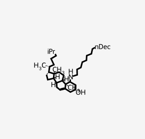 CCCCCCCCCCCCCCCCCCNC1C[C@H](O)CC2=CC[C@H]3[C@@H]4CC[C@H]([C@H](C)CCCC(C)C)[C@@]4(C)CC[C@@H]3[C@]21C